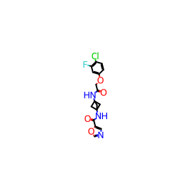 O=C(COc1ccc(Cl)c(F)c1)NC12CC(NC(=O)c3cnco3)(C1)C2